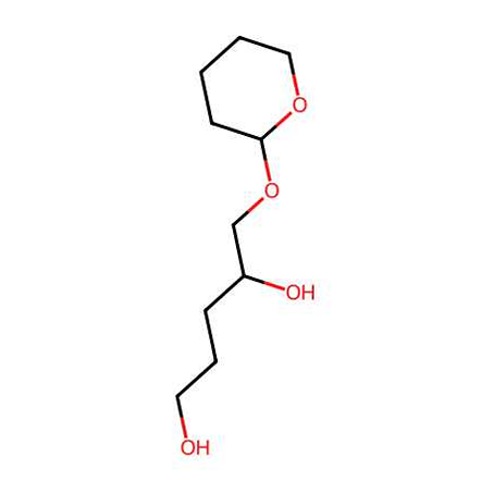 OCCCC(O)COC1CCCCO1